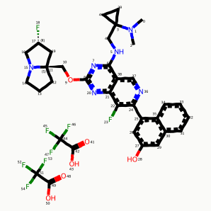 CN(C)C1(CNc2nc(OC[C@@]34CCCN3C[C@H](F)C4)nc3c(F)c(-c4cc(O)cc5ccccc45)ncc23)CC1.O=C(O)C(F)(F)F.O=C(O)C(F)(F)F